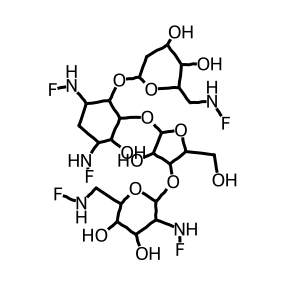 OCC1OC(OC2C(O)C(NF)CC(NF)C2OC2CC(O)C(O)C(CNF)O2)C(O)C1OC1OC(CNF)C(O)C(O)C1NF